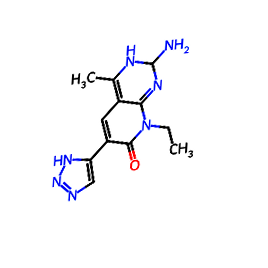 CCn1c(=O)c(-c2cnn[nH]2)cc2c1=NC(N)NC=2C